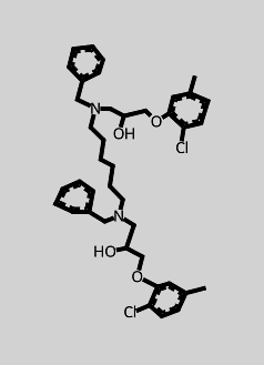 Cc1ccc(Cl)c(OCC(O)CN(CCCCCCN(Cc2ccccc2)CC(O)COc2cc(C)ccc2Cl)Cc2ccccc2)c1